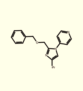 CC(C)c1cn(-c2ccncc2)c(COCc2ccccc2)n1